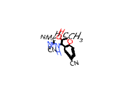 CN/C(=N/C#N)NC1c2cc(C#N)ccc2OC(C)(C)C1O